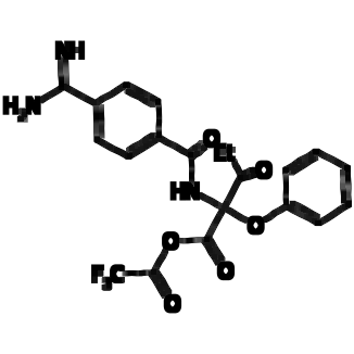 CCC(=O)C(NC(=O)c1ccc(C(=N)N)cc1)(Oc1ccccc1)C(=O)OC(=O)C(F)(F)F